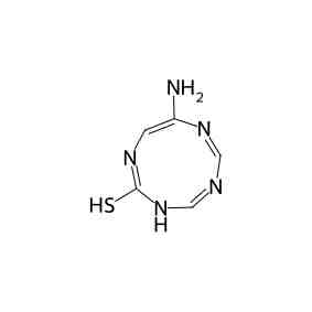 Nc1cnc(S)[nH]cncn1